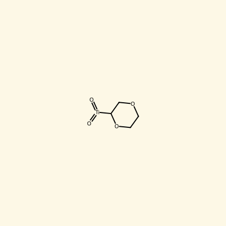 [O]=[Ti](=[O])[CH]1COCCO1